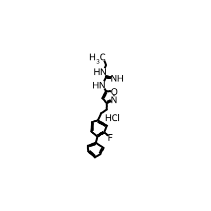 CCNC(=N)Nc1cc(CCc2ccc(-c3ccccc3)c(F)c2)no1.Cl